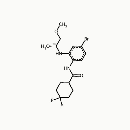 COC[C@@H](C)Nc1cc(Br)ccc1NC(=O)C1CCC(F)(F)CC1